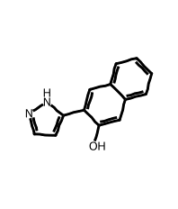 Oc1cc2ccccc2cc1-c1ccn[nH]1